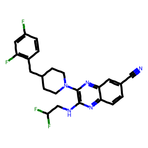 N#Cc1ccc2nc(NCC(F)F)c(N3CCC(Cc4ccc(F)cc4F)CC3)nc2c1